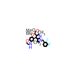 COC(=O)[C@@H](OC(C)(C)C)c1c(C)nc2c(ccn2Cc2cccc(F)c2F)c1-c1ccc2c(c1C)NCCO2